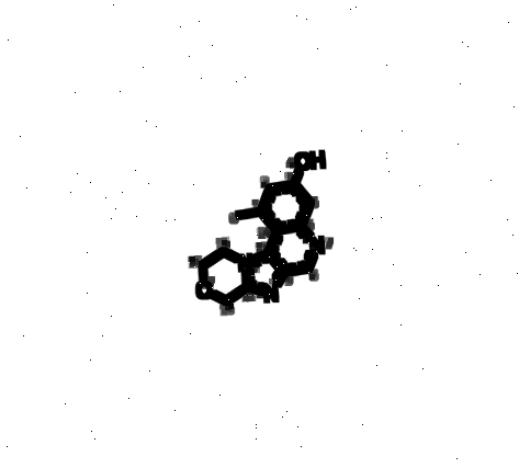 Cc1cc(O)cc2ncc3nc4n(c3c12)CCOC4